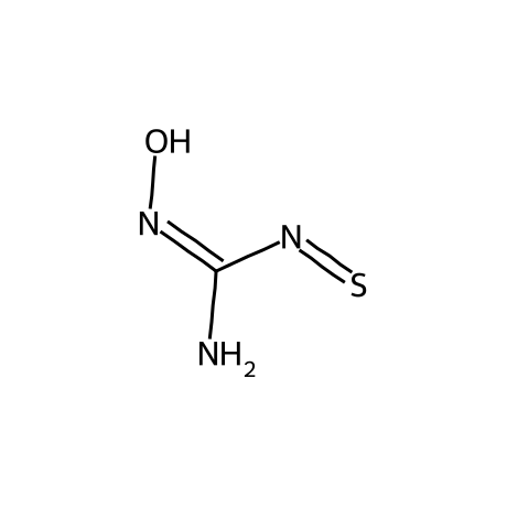 N/C(N=S)=N/O